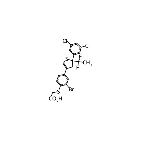 CC(F)(F)C1(c2cc(Cl)cc(Cl)c2)CC(c2ccc(SCC(=O)O)c(Br)c2)=CS1